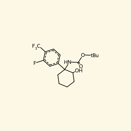 CC(C)(C)OC(=O)NC1(c2ccc(C(F)(F)F)c(F)c2)CCCCC1O